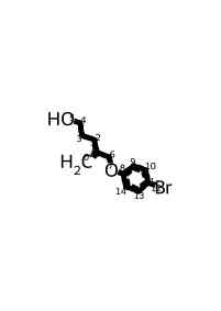 C=C(CCCO)COc1ccc(Br)cc1